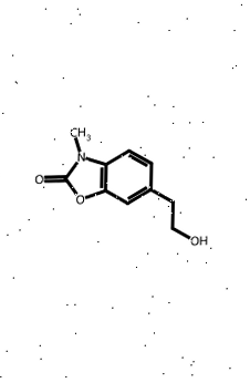 Cn1c(=O)oc2cc(CCO)ccc21